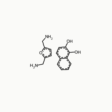 NCc1ccc(CN)o1.Oc1ccc2ccccc2c1O